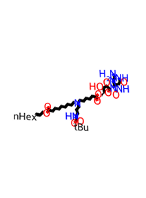 CCCCCC/C=C/COC(=O)CCCCCCCCN(CCCCCC(=O)OC[C@@H]1O[C@H](n2c(=O)[nH]c3c(=O)[nH]c(N)nc32)C(=O)C1O)CCCNC(=O)OC(C)(C)C